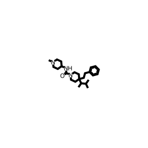 CC(C)C(C)C1(CCc2ccccc2)CCN(C(=O)NC2CCN(C)CC2)CC1